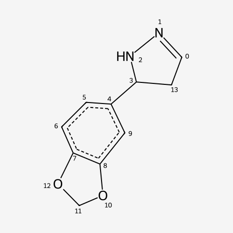 C1=NNC(c2ccc3c(c2)OCO3)C1